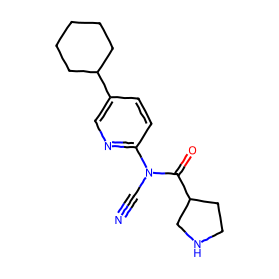 N#CN(C(=O)C1CCNC1)c1ccc(C2CCCCC2)cn1